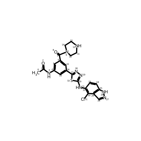 CC(=O)Nc1cc(C(=O)N2CCNCC2)cc(-c2nnc(Nc3ccc4[nH]ncc4c3Cl)s2)c1